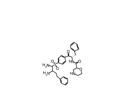 NC(CCc1ccccc1)C(N)S(=O)(=O)c1ccc(C(=O)[C@H](Cc2ccccc2)NC(=O)C2CNCCO2)cc1